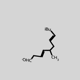 CCC(C)C=CCC(C)C=CC[C]=O